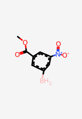 Bc1cc(C(=O)OC)cc([N+](=O)[O-])c1